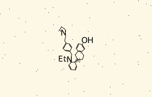 CCN(Cc1ccc(CCN2CCC2)cc1)C1C=CC=CC1[C@@H]1CCc2cc(O)ccc2C1